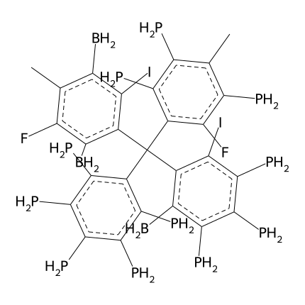 Bc1c(C)c(F)c(B)c(C(c2c(F)c(P)c(C)c(P)c2P)(c2c(P)c(P)c(P)c(P)c2P)c2c(B)c(P)c(P)c(P)c2I)c1I